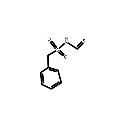 O=S(=O)(Cc1ccccc1)NC=S